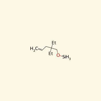 C=CCC(CC)(CC)CO[SiH3]